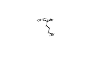 O=[C]C(Br)CCCBr